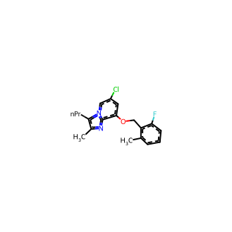 CCCc1c(C)nc2c(OCc3c(C)cccc3F)cc(Cl)cn12